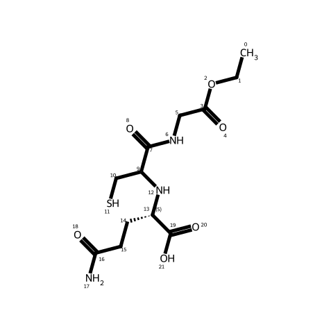 CCOC(=O)CNC(=O)C(CS)N[C@@H](CCC(N)=O)C(=O)O